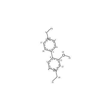 CC[n+]1ccc(-c2cc[n+](CC)cc2OC)cc1